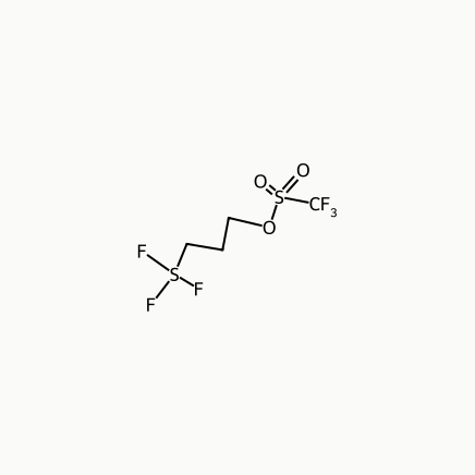 O=S(=O)(OCCCS(F)(F)F)C(F)(F)F